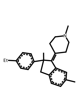 CCc1ccc(C2(C)Cc3ccc(C)cc3C2=C2CCN(C)CC2)cc1